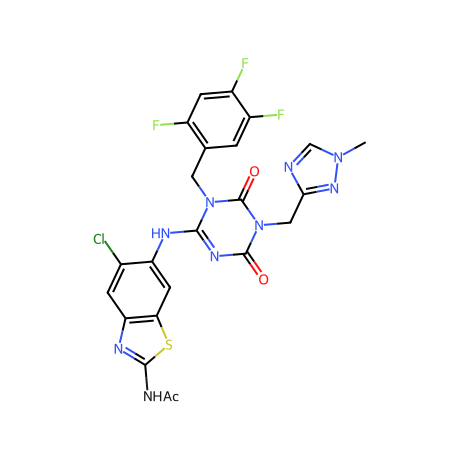 CC(=O)Nc1nc2cc(Cl)c(Nc3nc(=O)n(Cc4ncn(C)n4)c(=O)n3Cc3cc(F)c(F)cc3F)cc2s1